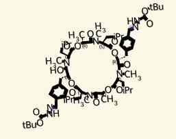 CC(C)C[C@H]1C(=O)O[C@H](Cc2ccc(/C=N/NC(=O)OC(C)(C)C)cc2)C(O)N(C)[C@@H](CC(C)C)C(=O)O[C@H](C)C(=O)N(C)[C@@H](CC(C)C)C(=O)O[C@H](Cc2ccc(/C=N/NC(=O)OC(C)(C)C)cc2)C(=O)N(C)[C@@H](CC(C)C)C(=O)O[C@H](C)C(=O)N1C